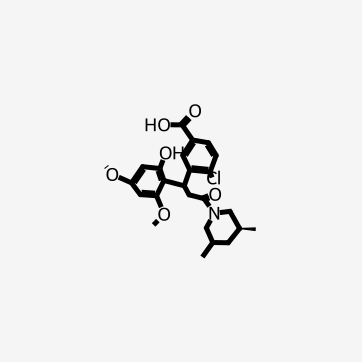 COc1cc(O)c(C(CC(=O)N2CC(C)C[C@H](C)C2)c2cc(C(=O)O)ccc2Cl)c(OC)c1